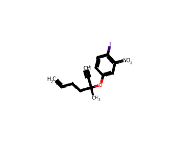 C#CC(C)(CCC=C)Oc1ccc(I)c([N+](=O)[O-])c1